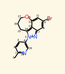 Cc1ccc(-n2nc3cc(Br)cc4c3c2CCCO4)cn1